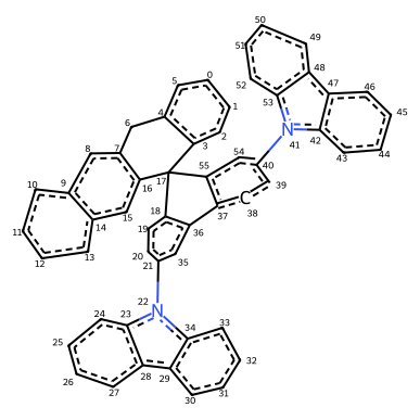 c1ccc2c(c1)Cc1cc3ccccc3cc1C21c2ccc(-n3c4ccccc4c4ccccc43)cc2-c2ccc(-n3c4ccccc4c4ccccc43)cc21